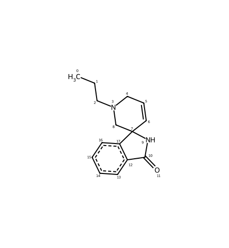 CCCN1CC=CC2(C1)NC(=O)c1ccccc12